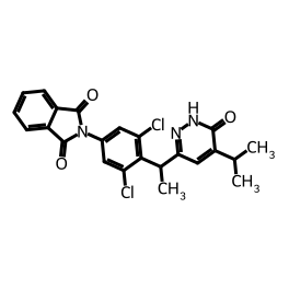 CC(C)c1cc(C(C)c2c(Cl)cc(N3C(=O)c4ccccc4C3=O)cc2Cl)n[nH]c1=O